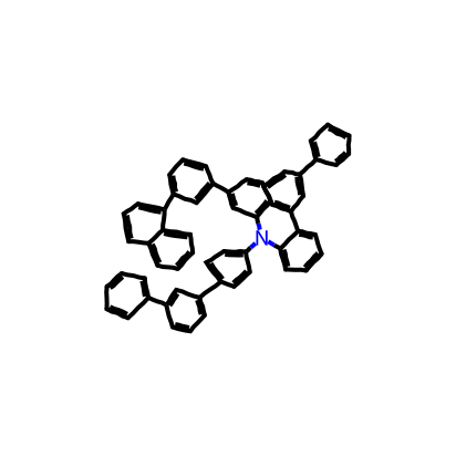 c1ccc(-c2cccc(-c3ccc(N(c4cccc(-c5cccc(-c6cccc7ccccc67)c5)c4)c4ccccc4-c4cccc(-c5ccccc5)c4)cc3)c2)cc1